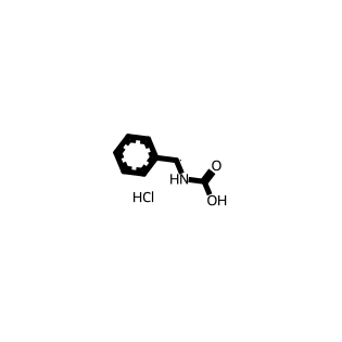 Cl.O=C(O)N[CH]c1ccccc1